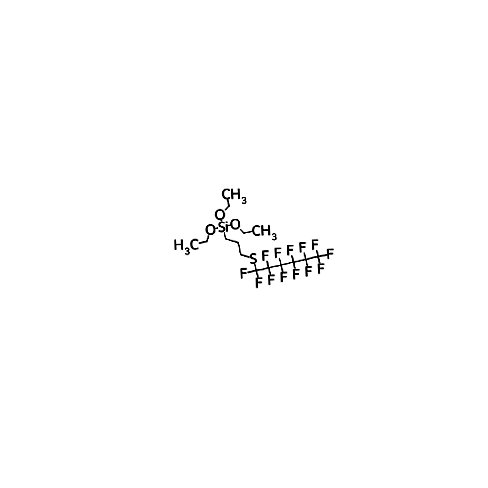 CCO[Si](CCCSC(F)(F)C(F)(F)C(F)(F)C(F)(F)C(F)(F)C(F)(F)F)(OCC)OCC